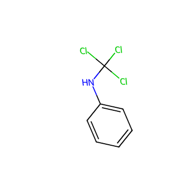 ClC(Cl)(Cl)Nc1ccccc1